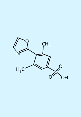 Cc1cc(S(=O)(=O)O)cc(C)c1-c1ncco1